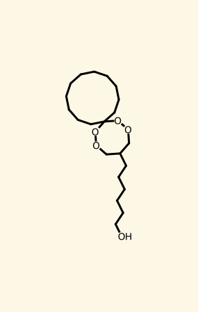 OCCCCCCC1COOC2(CCCCCCCCCCC2)OOC1